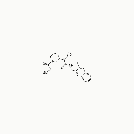 CC(C)(C)OC(=O)N1CCCC(N(C(=O)NCc2cc3ccccc3cc2F)C2CC2)C1